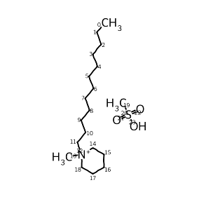 CCCCCCCCCCCC[N+]1(C)CCCCC1.CS(=O)(=O)O